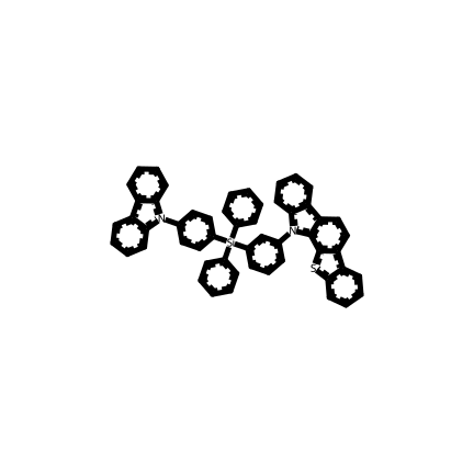 c1ccc([Si](c2ccccc2)(c2ccc(-n3c4ccccc4c4ccccc43)cc2)c2cccc(-n3c4ccccc4c4ccc5c6ccccc6sc5c43)c2)cc1